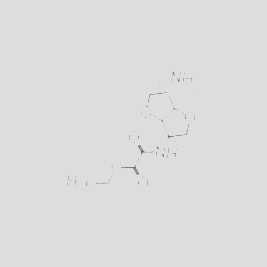 CCOC(=O)C(=O)N[C@H]1COC2C1OC[C@@H]2N